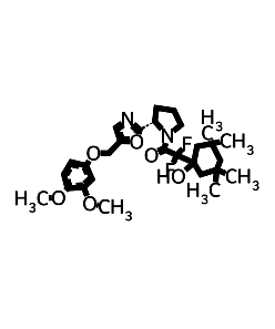 COc1ccc(OCc2cnc([C@@H]3CCCN3C(=O)C(F)(F)C3(O)CC(C)(C)CC(C)(C)C3)o2)cc1OC